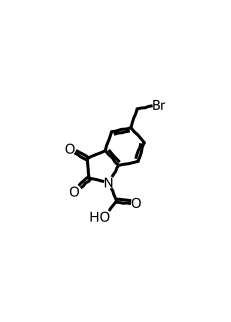 O=C1C(=O)N(C(=O)O)c2ccc(CBr)cc21